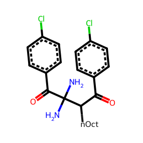 CCCCCCCCC(C(=O)c1ccc(Cl)cc1)C(N)(N)C(=O)c1ccc(Cl)cc1